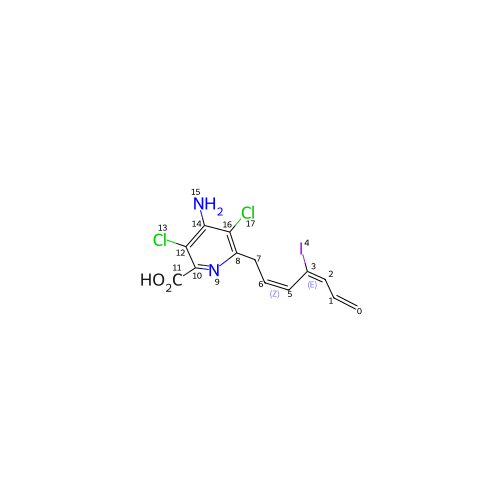 C=C/C=C(I)\C=C/Cc1nc(C(=O)O)c(Cl)c(N)c1Cl